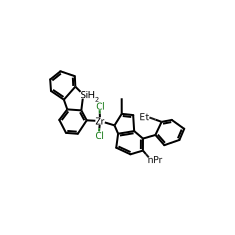 CCCc1ccc2c(c1-c1ccccc1CC)C=C(C)[CH]2[Zr]([Cl])([Cl])[c]1cccc2c1[SiH2]c1ccccc1-2